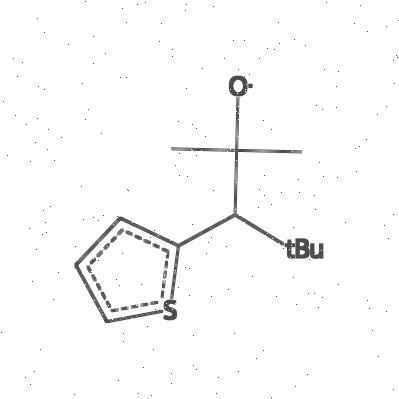 CC(C)(C)C(c1cccs1)C(C)(C)[O]